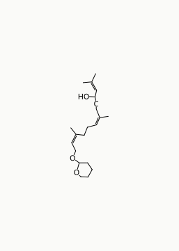 CC(C)=CC(O)CCC(C)=CCCC(C)=CCOC1CCCCO1